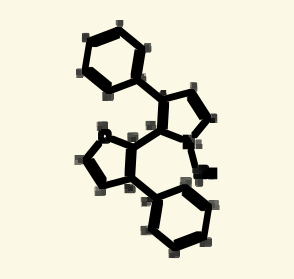 CC(C)(C)n1ccc(-c2ccccc2)c1-c1occc1-c1ccccc1